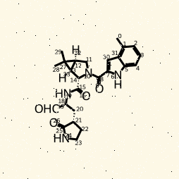 Cc1cccc2[nH]c(C(=O)N3C[C@H]4[C@@H]([C@H]3C(=O)N[C@H](C=O)C[C@@H]3CCNC3=O)C4(C)C)cc12